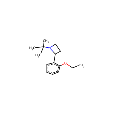 CCOc1ccccc1C1CCN1C(C)(C)C